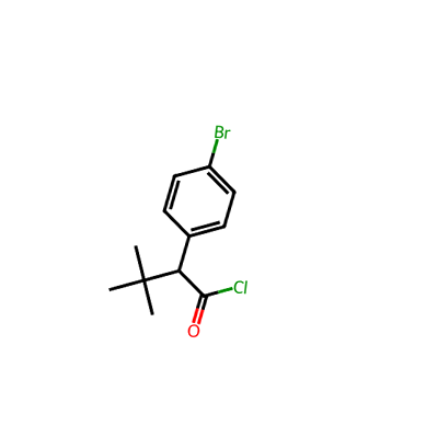 CC(C)(C)C(C(=O)Cl)c1ccc(Br)cc1